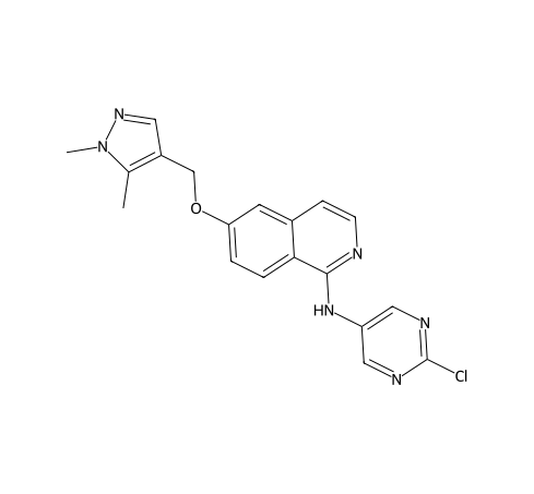 Cc1c(COc2ccc3c(Nc4cnc(Cl)nc4)nccc3c2)cnn1C